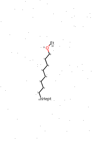 CCCCCCCCCCCCC[CH]COCC